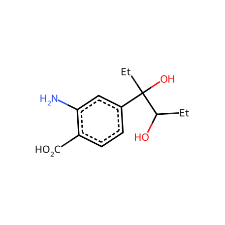 CCC(O)C(O)(CC)c1ccc(C(=O)O)c(N)c1